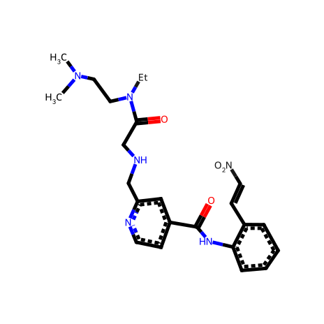 CCN(CCN(C)C)C(=O)CNCc1cc(C(=O)Nc2ccccc2/C=C/[N+](=O)[O-])ccn1